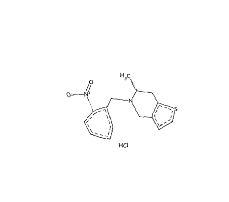 CC1Cc2sccc2CN1Cc1ccccc1[N+](=O)[O-].Cl